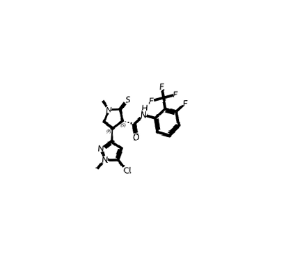 CN1C[C@H](c2cc(Cl)n(C)n2)[C@@H](C(=O)Nc2cccc(F)c2C(F)(F)F)C1=S